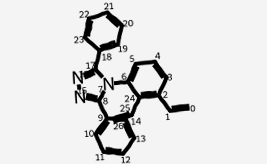 C=Cc1cccc(-n2c(-c3ccccc3)nnc2-c2ccccc2)c1C=C